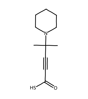 CC(C)(C#CC(=O)S)N1CCCCC1